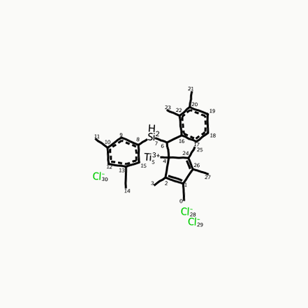 CC1=C(C)[C]([Ti+3])(C([SiH2]c2cc(C)cc(C)c2)c2cccc(C)c2C)C(C)=C1C.[Cl-].[Cl-].[Cl-]